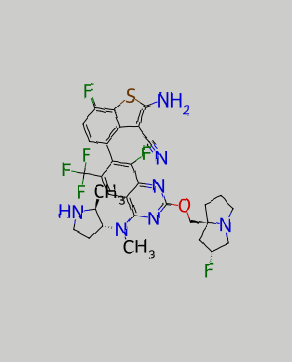 C[C@@H]1NCC[C@H]1N(C)c1nc(OC[C@@]23CCCN2C[C@H](F)C3)nc2c(F)c(-c3ccc(F)c4sc(N)c(C#N)c34)c(C(F)(F)F)cc12